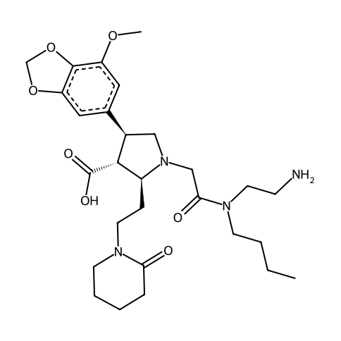 CCCCN(CCN)C(=O)CN1C[C@H](c2cc(OC)c3c(c2)OCO3)[C@@H](C(=O)O)[C@@H]1CCN1CCCCC1=O